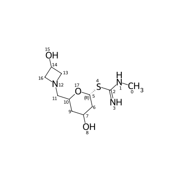 CNC(=N)S[C@@H]1CC(O)CC(CN2CC(O)C2)O1